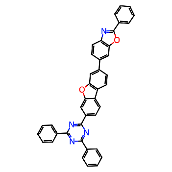 c1ccc(-c2nc(-c3ccccc3)nc(-c3ccc4c(c3)oc3cc(-c5ccc6nc(-c7ccccc7)oc6c5)ccc34)n2)cc1